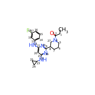 CCC(=O)N1CCCC(c2nc(Nc3cccc(F)c3)cc(NC3CC3)n2)C1